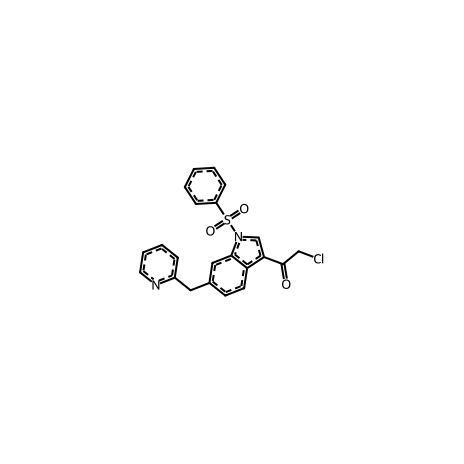 O=C(CCl)c1cn(S(=O)(=O)c2ccccc2)c2cc(Cc3ccccn3)ccc12